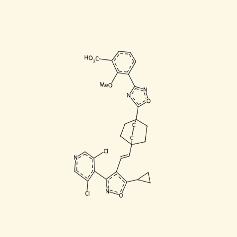 COc1c(C(=O)O)cccc1-c1noc(C23CCC(C=Cc4c(-c5c(Cl)cncc5Cl)noc4C4CC4)(CC2)CC3)n1